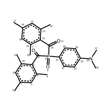 Cc1cc(C)c(C(=O)P(=O)(C(=O)c2c(C)cc(C)cc2C)c2ccc(N(C)C)cc2)c(C)c1